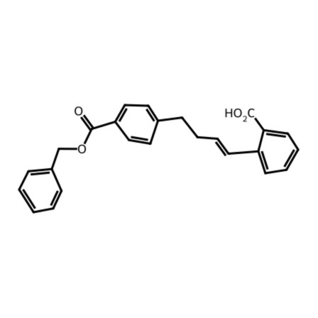 O=C(OCc1ccccc1)c1ccc(CCC=Cc2ccccc2C(=O)O)cc1